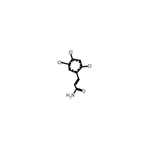 NC(=O)C=Cc1cc(Cl)c(Cl)cc1Cl